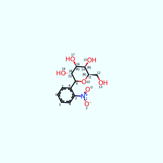 O=[N+]([O-])c1ccccc1[C]1O[C@H](CO)[C@H](O)[C@H](O)[C@H]1O